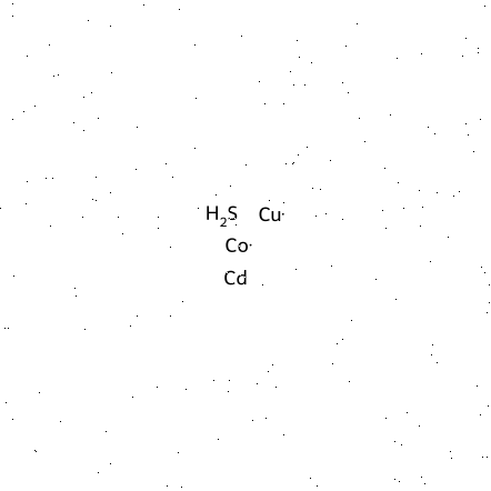 S.[Cd].[Co].[Cu]